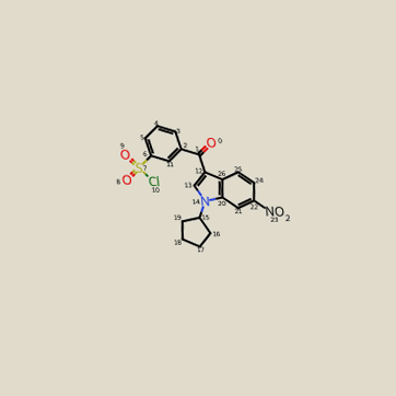 O=C(c1cccc(S(=O)(=O)Cl)c1)c1cn(C2CCCC2)c2cc([N+](=O)[O-])ccc12